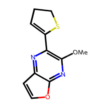 COc1nc2occc2nc1C1=CCCS1